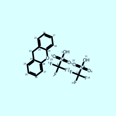 O=S(=O)(O)C(F)(F)F.O=S(=O)(O)C(F)(F)F.c1ccc2c(c1)Cc1ccccc1O2